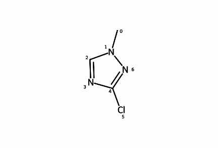 Cn1cnc(Cl)n1